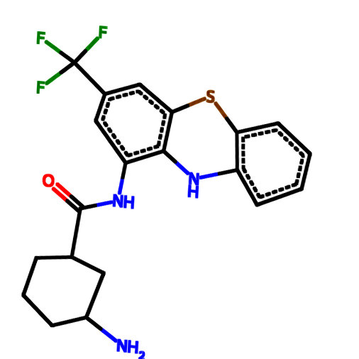 NC1CCCC(C(=O)Nc2cc(C(F)(F)F)cc3c2Nc2ccccc2S3)C1